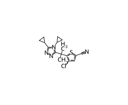 CC(C)(c1sc(C#N)cc1Cl)c1nnc(C2CC2)n1C1CC1